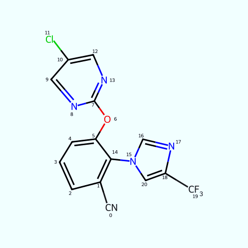 N#Cc1cccc(Oc2ncc(Cl)cn2)c1-n1cnc(C(F)(F)F)c1